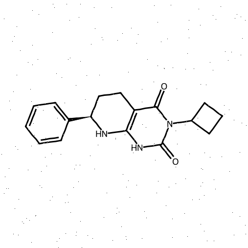 O=c1[nH]c2c(c(=O)n1C1CCC1)CC[C@H](c1ccccc1)N2